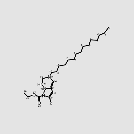 CCCCCCCCCCCCCCCN1C=C2C=C(C)N(C(=O)OCC)N2NC1